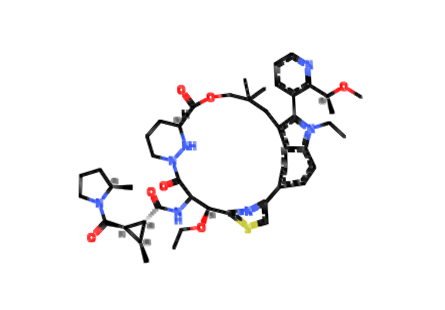 CCO[C@@H]1c2nc(cs2)-c2ccc3c(c2)c(c(-c2cccnc2[C@H](C)OC)n3CC)CC(C)(C)COC(=O)[C@@H]2CCCN(N2)C(=O)C1NC(=O)[C@@H]1[C@@H](C)[C@H]1C(=O)N1CCC[C@H]1C